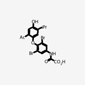 CC(=O)c1cc(O)c(C(C)C)cc1Oc1c(Br)cc(NC(=O)C(=O)O)cc1Br